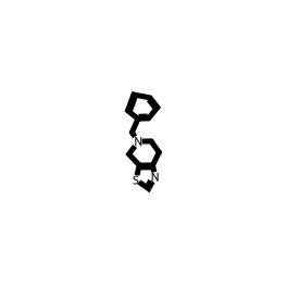 [c]1nc2c(s1)CN(Cc1ccccc1)CC2